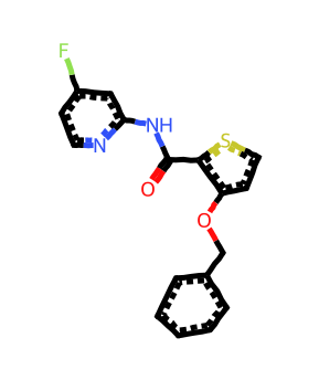 O=C(Nc1cc(F)ccn1)c1sccc1OCc1ccccc1